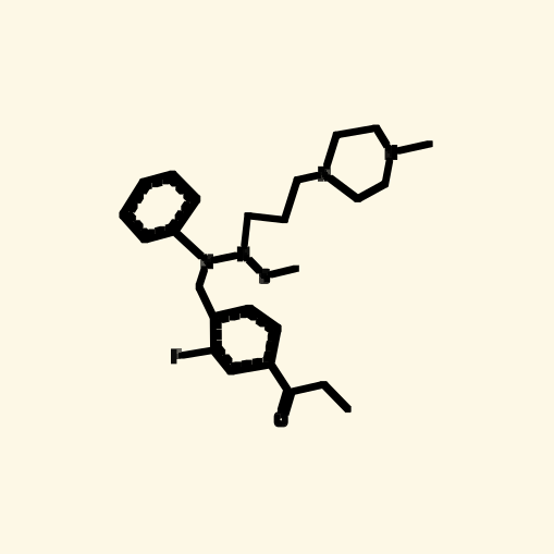 CCC(=O)c1ccc(CN(c2ccccc2)N(CCCN2CCN(C)CC2)SC)c(F)c1